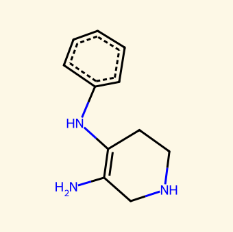 NC1=C(Nc2ccccc2)CCNC1